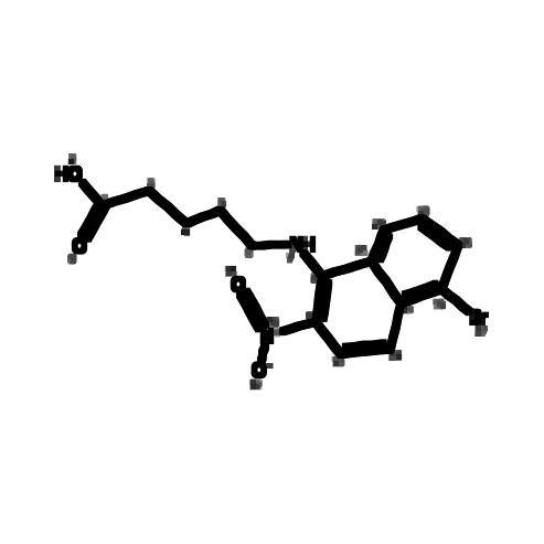 O=C(O)CCCCNc1c([N+](=O)[O-])ccc2c(Br)cccc12